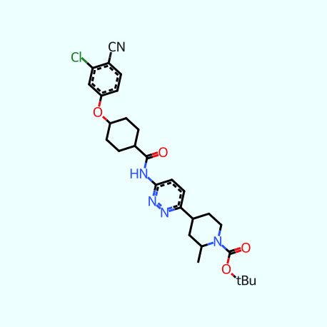 CC1CC(c2ccc(NC(=O)C3CCC(Oc4ccc(C#N)c(Cl)c4)CC3)nn2)CCN1C(=O)OC(C)(C)C